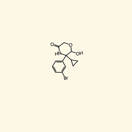 O=C1COC(O)C(c2cccc(Br)c2)(C2CC2)N1